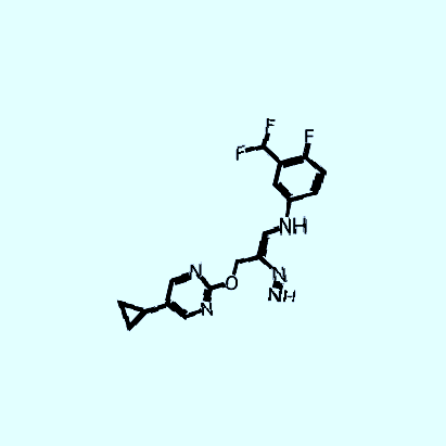 N=N/C(=C\Nc1ccc(F)c(C(F)F)c1)COc1ncc(C2CC2)cn1